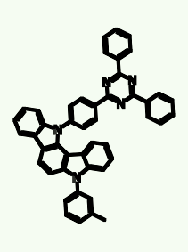 Cc1cccc(-n2c3ccccc3c3c2ccc2c4ccccc4n(-c4ccc(-c5nc(-c6ccccc6)nc(-c6ccccc6)n5)cc4)c23)c1